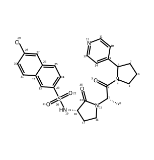 C[C@@H](C(=O)N1CCCC1c1ccncc1)N1CC[C@H](NS(=O)(=O)c2ccc3cc(Cl)ccc3c2)C1=O